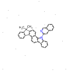 CC1(C)c2ccccc2-c2c1ccc1c2ccc2c3ccccc3n(-c3cc4ccccc4cn3)c12